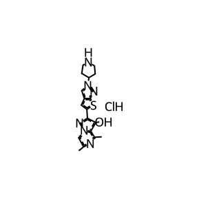 Cc1cn2nc(-c3cc4cn(C5CCNCC5)nc4s3)c(O)c2c(C)n1.Cl